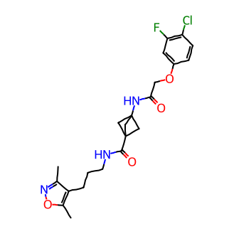 Cc1noc(C)c1CCCNC(=O)C12CC(NC(=O)COc3ccc(Cl)c(F)c3)(C1)C2